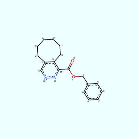 O=C(OCc1ccccc1)c1nncc2c1CCCCCC2